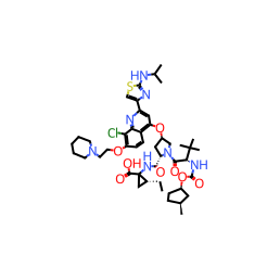 CC[C@@H]1CC1(NC(=O)[C@@H]1C[C@@H](Oc2cc(-c3csc(NC(C)C)n3)nc3c(Cl)c(OCCN4CCCCC4)ccc23)CN1C(=O)[C@@H](NC(=O)O[C@@H]1CC[C@H](C)C1)C(C)(C)C)C(=O)O